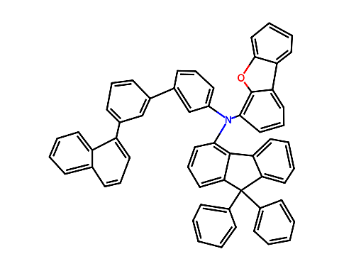 c1ccc(C2(c3ccccc3)c3ccccc3-c3c(N(c4cccc(-c5cccc(-c6cccc7ccccc67)c5)c4)c4cccc5c4oc4ccccc45)cccc32)cc1